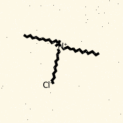 CCCCCCCCCCCC[N+](C)(CCCCCCCCCCCC)C(C)(C)CCCCCCCCCCC.[Cl-]